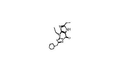 CCc1nc2c([nH]1)c(=O)n1nc(CC3CCCCC3)nc1n2CC